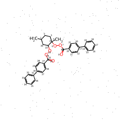 [CH2]C1CCC([CH2])(OOC(=O)c2ccc(-c3ccccc3)cc2)C(OOC(=O)c2ccc(-c3ccccc3)cc2)C1